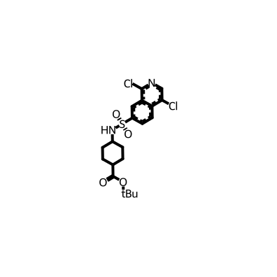 CC(C)(C)OC(=O)C1CCC(NS(=O)(=O)c2ccc3c(Cl)cnc(Cl)c3c2)CC1